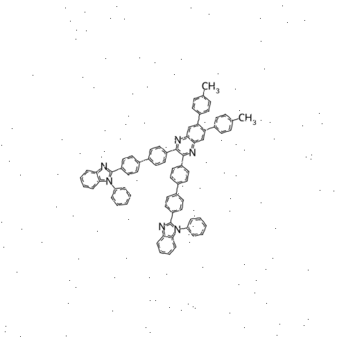 Cc1ccc(-c2cc3nc(-c4ccc(-c5ccc(-c6nc7ccccc7n6-c6ccccc6)cc5)cc4)c(-c4ccc(-c5ccc(-c6nc7ccccc7n6-c6ccccc6)cc5)cc4)nc3cc2-c2ccc(C)cc2)cc1